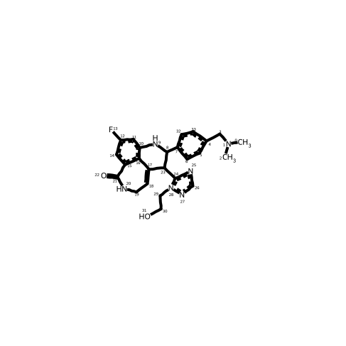 CN(C)Cc1ccc(C2Nc3cc(F)cc4c3C(=CCNC4=O)C2c2ncnn2CCO)cc1